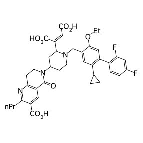 CCCc1nc2c(cc1C(=O)O)C(=O)N(C1CCN(Cc3cc(C4CC4)c(-c4ccc(F)cc4F)cc3OCC)C(/C(=C/C(=O)O)C(=O)O)C1)CC2